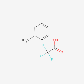 O=C(O)C(F)(F)F.O=S(=O)(O)c1ccccc1